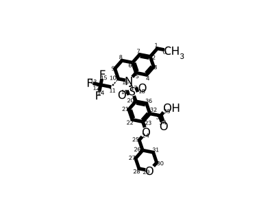 CCc1ccc2c(c1)CC[C@@H](CC(F)(F)F)N2S(=O)(=O)c1ccc(OCC2CCOCC2)c(C(=O)O)c1